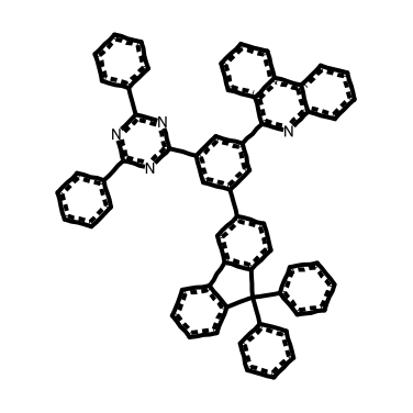 c1ccc(-c2nc(-c3ccccc3)nc(-c3cc(-c4ccc5c(c4)-c4ccccc4C5(c4ccccc4)c4ccccc4)cc(-c4nc5ccccc5c5ccccc45)c3)n2)cc1